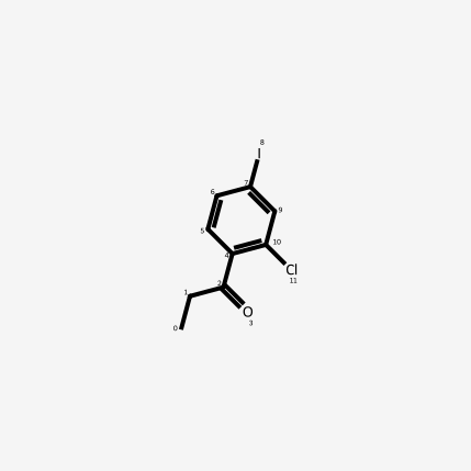 CCC(=O)c1ccc(I)cc1Cl